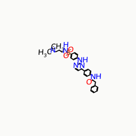 CN(C)CCCNS(=O)(=O)c1ccc(Nc2nccc(-c3ccc(NC(=O)Cc4ccccc4)cc3)n2)cc1